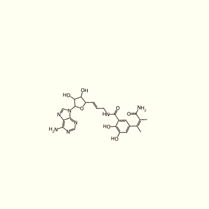 CC(C(N)=O)=C(C)c1cc(O)c(O)c(C(=O)NCC=CC2OC(n3cnc4c(N)ncnc43)C(O)C2O)c1